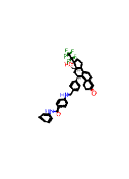 C[C@]12C[C@H](c3ccc(CNc4ccc(C(=O)Nc5ccccc5)cc4)cc3)C3=C4CCC(=O)C=C4CCC3C1CC[C@]2(O)C(F)(F)C(F)(F)F